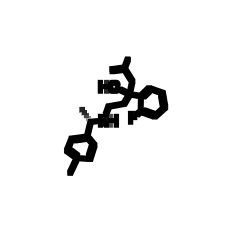 C=C(C)CC(O)(CCN[C@@H](C)c1ccc(C)cc1)c1ccccc1F